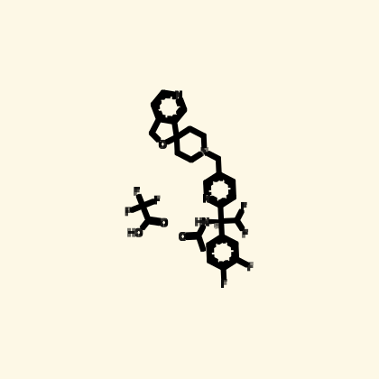 CC(=O)N[C@@](c1ccc(F)c(F)c1)(c1ccc(CN2CCC3(CC2)OCc2ccncc23)cn1)C(F)F.O=C(O)C(F)(F)F